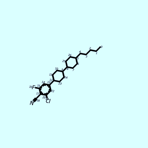 CCCCCC1CCC(C2CCC(c3cc(F)c(C#N)c(Cl)c3)CC2)CC1